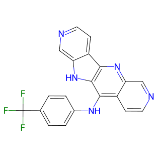 FC(F)(F)c1ccc(Nc2c3ccncc3nc3c2[nH]c2cnccc23)cc1